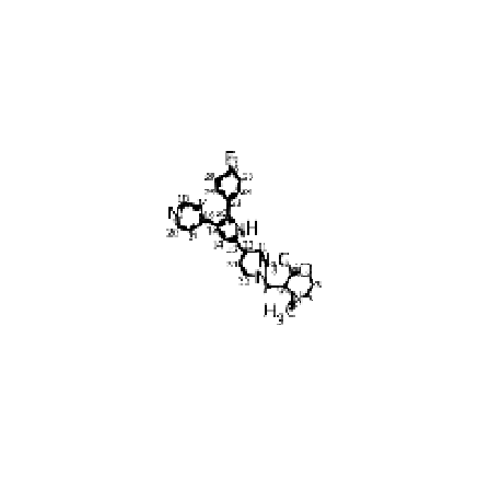 C[C@H]1OCCN(C)[C@H]1CN1CCC(c2cc(-c3ccncc3)c(-c3ccc(F)cc3)[nH]2)CC1